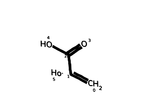 C=CC(=O)O.[Ho]